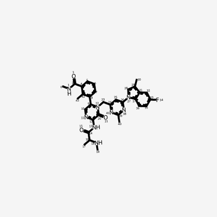 CNC(=O)c1cccc(-c2cnc(NC(=O)C(C)NC)c(=O)n2Cc2cc(-n3cc(C)c4cc(F)ccc43)nc(C)n2)c1C